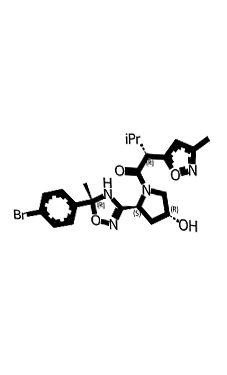 Cc1cc([C@H](C(=O)N2C[C@H](O)C[C@H]2C2=NO[C@](C)(c3ccc(Br)cc3)N2)C(C)C)on1